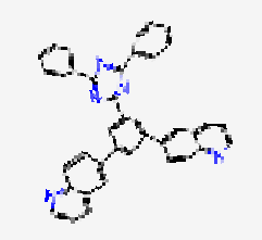 c1ccc(-c2nc(-c3ccccc3)nc(-c3cc(-c4ccc5ncccc5c4)cc(-c4ccc5ncccc5c4)c3)n2)cc1